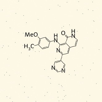 COc1cc(Nc2nc(-c3cncnc3)cc3cc[nH]c(=O)c23)ccc1C